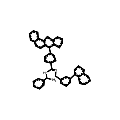 NC(N/C(=N\Cc1cccc(-c2cccc3ccccc23)c1)c1ccc(-c2c3ccccc3cc3c2ccc2ccccc23)cc1)c1ccccc1